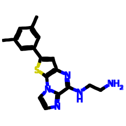 Cc1cc(C)cc(-c2cc3nc(NCCN)c4nccn4c3s2)c1